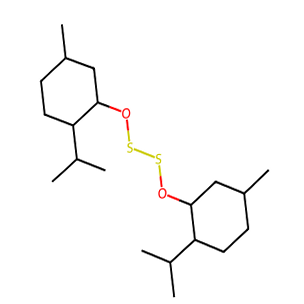 CC1CCC(C(C)C)C(OSSOC2CC(C)CCC2C(C)C)C1